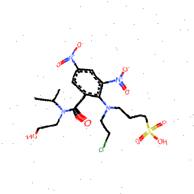 CC(C)N(CCO)C(=O)c1cc([N+](=O)[O-])cc([N+](=O)[O-])c1N(CCCl)CCCS(=O)(=O)O